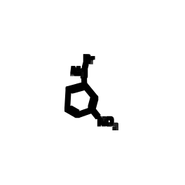 O=[N+]([O-])c1ccc[c]([Mg][Br])c1